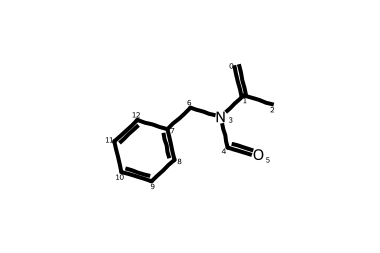 C=C(C)N(C=O)Cc1ccccc1